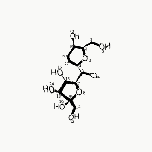 OC[C@H]1O[C@H](C(Cl)[C@H]2O[C@](O)(CO)[C@@H](O)[C@@H]2O)CC[C@H]1O